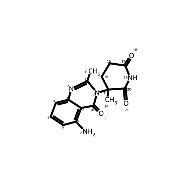 Cc1nc2cccc(N)c2c(=O)n1C1(C)CCC(=O)NC1=O